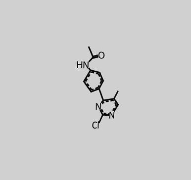 CC(=O)Nc1ccc(-c2nc(Cl)ncc2C)cc1